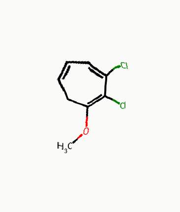 COC1=C(Cl)C(Cl)=CC=CC1